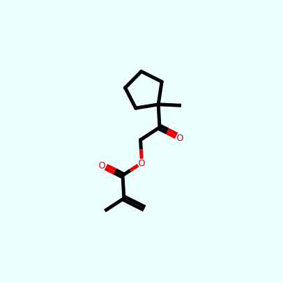 C=C(C)C(=O)OCC(=O)C1(C)CCCC1